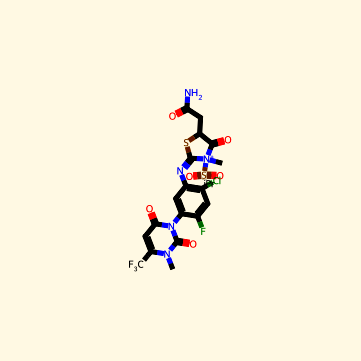 CC(C)S(=O)(=O)[N+]1(C)C(=O)C(CC(N)=O)SC1=Nc1cc(-n2c(=O)cc(C(F)(F)F)n(C)c2=O)c(F)cc1Cl